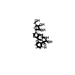 O=c1c2ncn([C@@H]3O[C@H](CO)C(O)C3O)c2nc2n1C(O)(c1ccccc1)C(O)N2